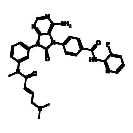 CN(C)CC=CC(=O)N(C)c1cccc(-n2c(=O)n(-c3ccc(C(=O)Nc4ncccc4F)cc3)c3c(N)ncnc32)c1